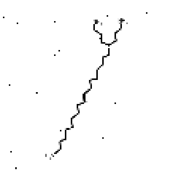 NCCCCCCCCC=CCCCCCCCC(CCCN)CCCN